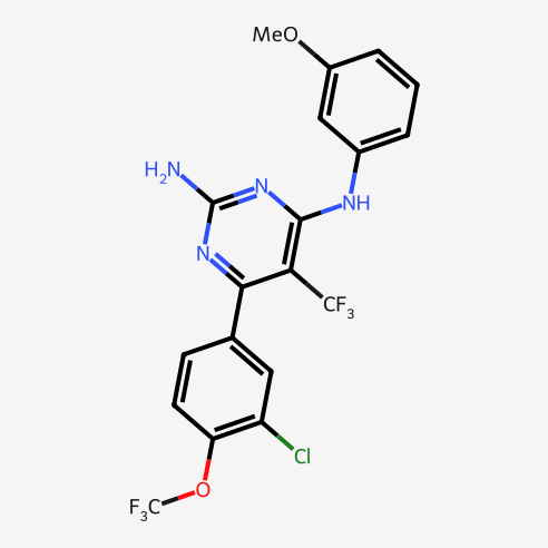 COc1cccc(Nc2nc(N)nc(-c3ccc(OC(F)(F)F)c(Cl)c3)c2C(F)(F)F)c1